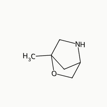 CC12CNC(CO1)C2